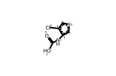 O=C(O)Nc1cscc1Cl